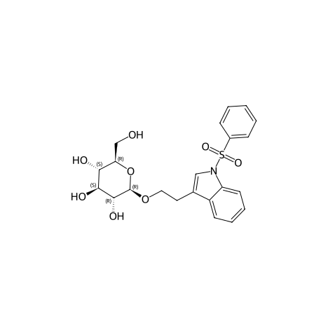 O=S(=O)(c1ccccc1)n1cc(CCO[C@@H]2O[C@H](CO)[C@@H](O)[C@H](O)[C@H]2O)c2ccccc21